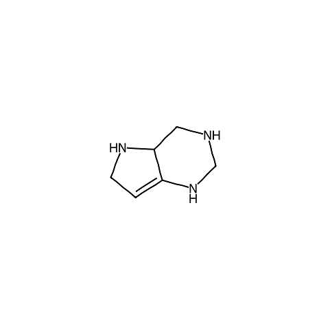 C1=C2NCNCC2NC1